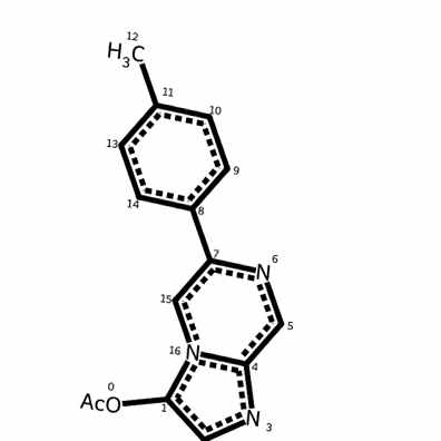 CC(=O)Oc1cnc2cnc(-c3ccc(C)cc3)cn12